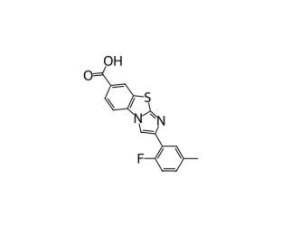 Cc1ccc(F)c(-c2cn3c(n2)sc2cc(C(=O)O)ccc23)c1